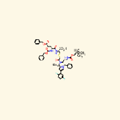 CC(C)(C)[C@H](c1cc(-c2cc(F)ccc2F)cn1Cc1ccccc1)N(CCCNC(=O)OCC[Si](C)(C)C)C(=O)CSC[C@H](NC(=O)[C@H](CCC(=O)OCc1ccccc1)NC(=O)OCc1ccccc1)C(=O)O